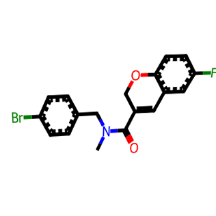 CN(Cc1ccc(Br)cc1)C(=O)C1=Cc2cc(F)ccc2OC1